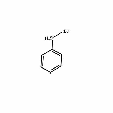 CC(C)(C)[SiH2]c1c[c][c]cc1